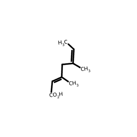 C/C=C(/C)C/C(C)=C/C(=O)O